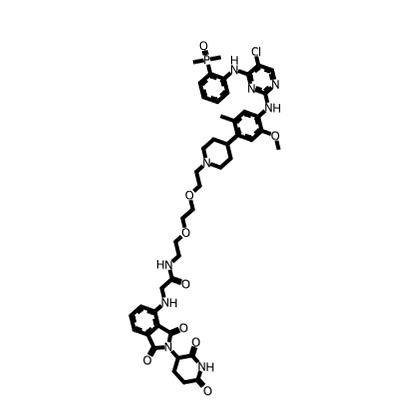 COc1cc(C2CCN(CCOCCOCCNC(=O)CNc3cccc4c3C(=O)N(C3CCC(=O)NC3=O)C4=O)CC2)c(C)cc1Nc1ncc(Cl)c(Nc2ccccc2P(C)(C)=O)n1